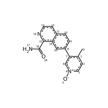 Cc1cc[n+]([O-])cc1-c1ccc2c[c]nc(C(N)=O)c2c1